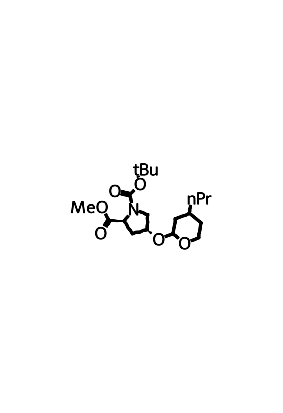 CCCC1CCOC(O[C@@H]2C[C@@H](C(=O)OC)N(C(=O)OC(C)(C)C)C2)C1